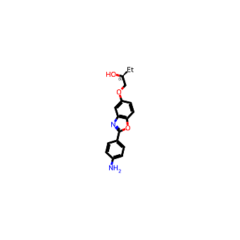 CC[C@H](O)COc1ccc2oc(-c3ccc(N)cc3)nc2c1